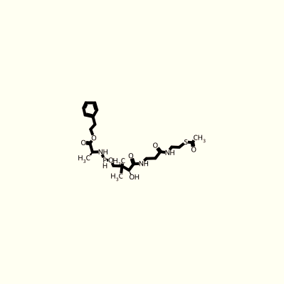 CC(=O)SCCNC(=O)CCNC(=O)[C@H](O)C(C)(C)COPN[C@@H](C)C(=O)OCCc1ccccc1